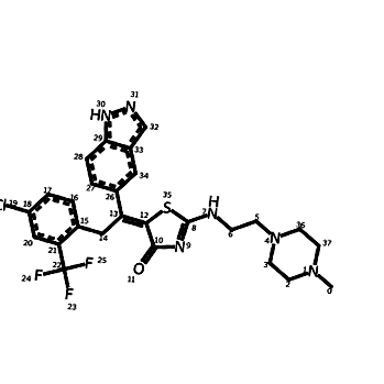 CN1CCN(CCNC2=NC(=O)C(=C(Cc3ccc(Cl)cc3C(F)(F)F)c3ccc4[nH]ncc4c3)S2)CC1